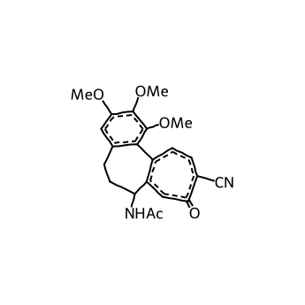 COc1cc2c(c(OC)c1OC)-c1ccc(C#N)c(=O)cc1C(NC(C)=O)CC2